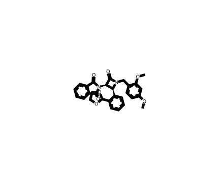 COc1ccc(CN2C(=O)[C@H](N3C(=O)c4ccccc4C3=O)[C@@H]2c2ccccc2C2OCCO2)c(OC)c1